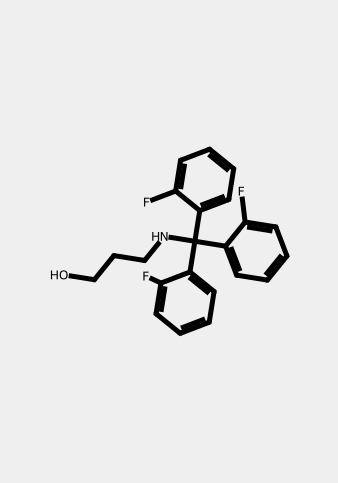 OCCCNC(c1ccccc1F)(c1ccccc1F)c1ccccc1F